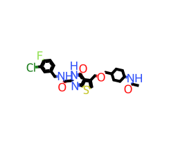 CC(=O)NC1CCC(COCc2csc3nc(C(=O)NCc4ccc(F)c(Cl)c4)[nH]c(=O)c23)CC1